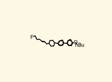 CCCCOc1ccc(-c2ccc(C3CCC(CC=CCCCF)CC3)cc2)cc1